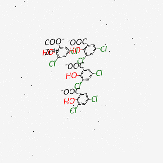 O=C([O-])c1cc(Cl)cc(Cl)c1O.O=C([O-])c1cc(Cl)cc(Cl)c1O.O=C([O-])c1cc(Cl)cc(Cl)c1O.O=C([O-])c1cc(Cl)cc(Cl)c1O.[Zr+4]